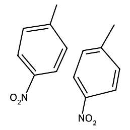 Cc1ccc([N+](=O)[O-])cc1.Cc1ccc([N+](=O)[O-])cc1